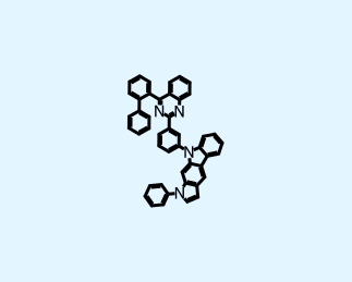 c1ccc(-c2ccccc2-c2nc(-c3cccc(-n4c5ccccc5c5cc6ccn(-c7ccccc7)c6cc54)c3)nc3ccccc23)cc1